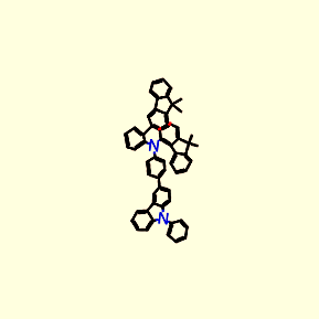 CC1(C)c2ccccc2-c2cc(-c3ccccc3N(c3ccc(-c4ccc5c(c4)c4ccccc4n5-c4ccccc4)cc3)c3cccc4c3-c3ccccc3C4(C)C)ccc21